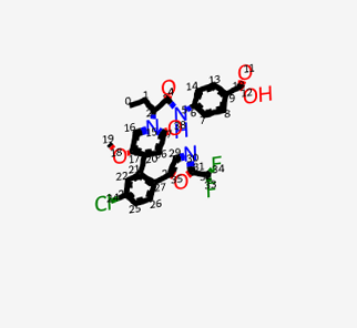 CCC(C(=O)Nc1ccc(C(=O)O)cc1)n1cc(OC)c(-c2cc(Cl)ccc2-c2cnc(C(F)F)o2)cc1=O